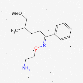 COCC(CCC(=NOCCN)c1ccccc1)C(F)(F)F